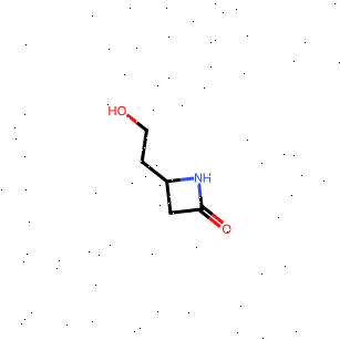 O=C1CC(CCO)N1